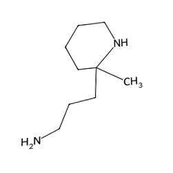 CC1(CCCN)CCCCN1